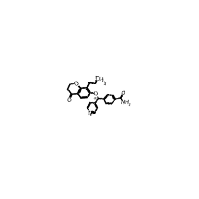 CCCc1c(O[C@@H](c2ccncc2)c2ccc(C(N)=O)cc2)ccc2c1OCCC2=O